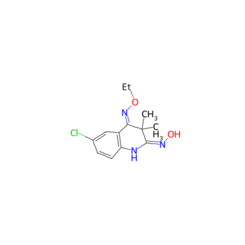 CCO/N=C1/c2cc(Cl)ccc2N/C(=N/O)C1(C)C